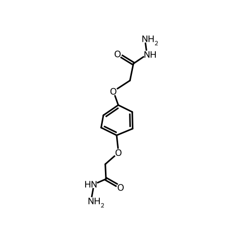 NNC(=O)COc1ccc(OCC(=O)NN)cc1